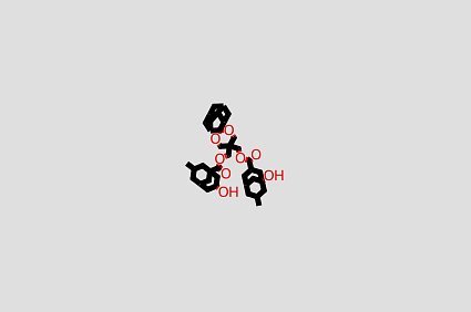 CC1CC2CC(C(=O)OCC3(COC(=O)C45CC(C)CC(CC(O)C4)C5)COC4(OC3)C3CC5CC(C3)CC4C5)CC(O)(C1)C2